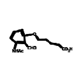 CC(=O)Nc1cccc(OCCCCC(=O)O)c1C=O